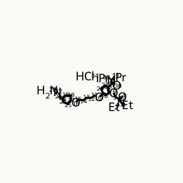 CCN(CC)C(=O)COc1cc(OCCCCCOc2ccc(C=NN)cc2)ccc1C(=O)N(C(C)C)C(C)C.Cl